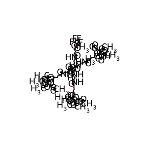 CC(=O)NC1C(OCCCCCC(=O)NCCCNC(=O)CN(C(C=O)NCCCNC(=O)CCCCCOC2OC(COC(C)=O)C(OC(C)=O)C(OC(C)=O)C2NC(C)=O)C(CCCCNC(=O)CCCC(=O)Oc2c(F)c(F)c(F)c(F)c2F)C(=O)NCCCNC(=O)CCCCCOC2OC(COC(C)=O)C(OC(C)=O)C(OC(C)=O)C2NC(C)=O)OC(COC(C)=O)C(OC(C)=O)C1OC(C)=O